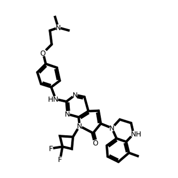 Cc1cccc2c1NCCN2c1cc2cnc(Nc3ccc(OCCN(C)C)cc3)nc2n(C2CC(F)(F)C2)c1=O